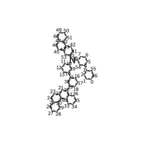 c1ccc(-c2cccc(N(c3cccc(-c4cccc(-c5cc6ccc7ccccc7c6c6ccccc56)c4)c3)c3ccc4c(ccc5ccccc54)c3)c2)cc1